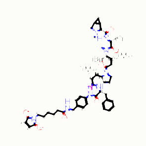 CC[C@H](C)[C@@H]([C@@H](CC(=O)N1CCC[C@H]1[C@H](OC)[C@@H](C)C(=O)N[C@@H](Cc1ccccc1)C(=O)Nc1ccc(CNC(=O)CCCCCN2C(=O)C=CC2=O)cc1)OC)N(C)C(=O)[C@@H](NC(=O)[C@@H]1C2CC2CN1C)C(C)C